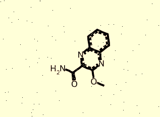 COc1nc2ccccc2nc1C(N)=O